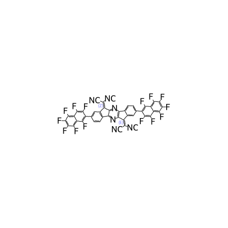 [C-]#[N+]/C(C#N)=C1/c2cc(-c3c(F)c(F)c4c(F)c(F)c(F)c(F)c4c3F)ccc2-c2nc3c(nc21)-c1ccc(-c2c(F)c(F)c4c(F)c(F)c(F)c(F)c4c2F)cc1/C3=C(/C#N)[N+]#[C-]